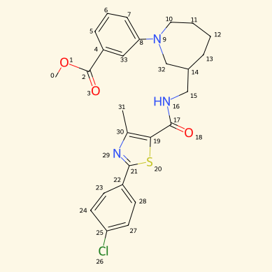 COC(=O)c1cccc(N2CCCCC(CNC(=O)c3sc(-c4ccc(Cl)cc4)nc3C)C2)c1